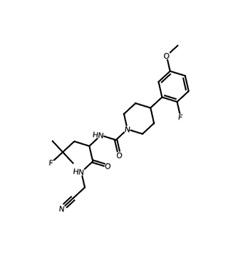 COc1ccc(F)c(C2CCN(C(=O)NC(CC(C)(C)F)C(=O)NCC#N)CC2)c1